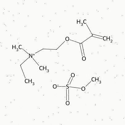 C=C(C)C(=O)OCC[N+](C)(C)CC.COS(=O)(=O)[O-]